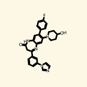 O=C1CC(c2cccc(-n3ccnc3)c2)=Nc2cc(N3CCC(O)CC3)c(-c3ccc(F)cc3)cc2N1